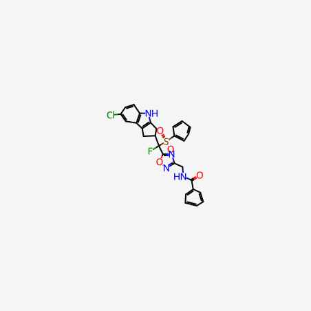 O=C(NCc1noc(C(F)(C2Cc3[nH]c4ccc(Cl)cc4c3C2)S(=O)(=O)c2ccccc2)n1)c1ccccc1